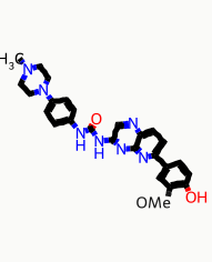 COc1cc(-c2ccc3ncc(NC(=O)Nc4ccc(N5CCN(C)CC5)cc4)nc3n2)ccc1O